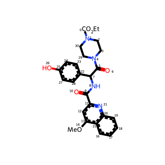 CCOC(=O)N1CCN(C(=O)C(NC(=O)c2cc(OC)c3ccccc3n2)c2ccc(O)cc2)CC1